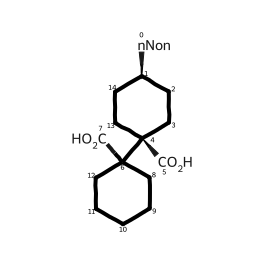 CCCCCCCCC[C@H]1CC[C@](C(=O)O)(C2(C(=O)O)CCCCC2)CC1